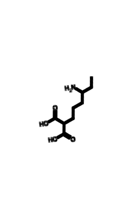 CCC(N)CCCC(C(=O)O)C(=O)O